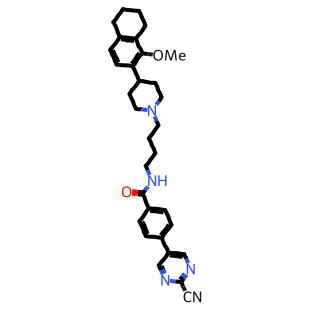 COc1c(C2CCN(CCCCNC(=O)c3ccc(-c4cnc(C#N)nc4)cc3)CC2)ccc2c1CCCC2